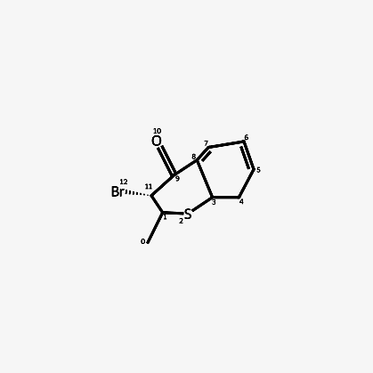 CC1SC2CC=CC=C2C(=O)[C@H]1Br